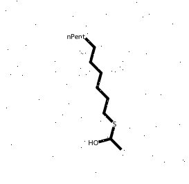 CCCCCCCCCCCSC(C)O